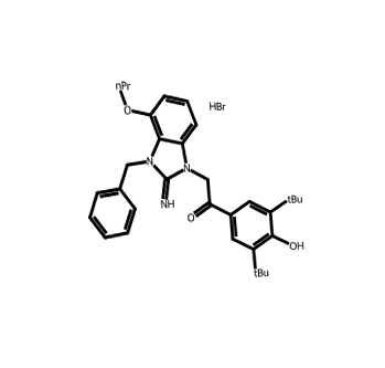 Br.CCCOc1cccc2c1n(Cc1ccccc1)c(=N)n2CC(=O)c1cc(C(C)(C)C)c(O)c(C(C)(C)C)c1